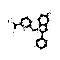 O=C(O)c1cccc(Cn2c(-c3ccccc3)cc3cc(Cl)ccc32)n1